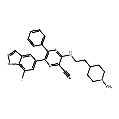 CN1CCC(CCNc2nc(-c3ccccc3)c(-c3cc(Cl)c4[nH]ncc4c3)nc2C#N)CC1